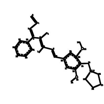 C=C\C=C(/C(C)=C(C)/C=C/c1cc(OC)c(CN2CCCC2)c(OC)c1)c1ccccc1